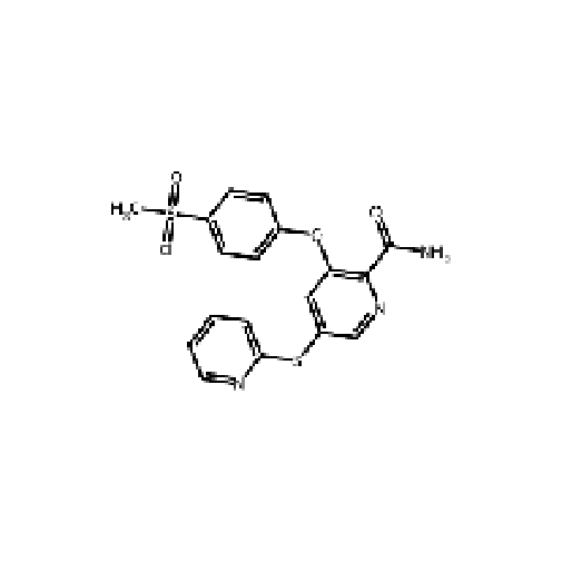 CS(=O)(=O)c1ccc(Oc2cc(Sc3ccccn3)cnc2C(N)=O)cc1